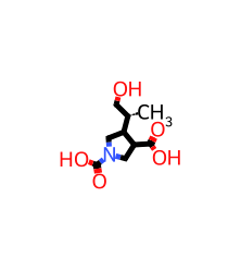 C[C@@H](CO)C1CN(C(=O)O)CC1C(=O)O